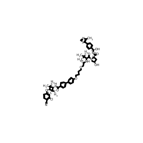 Cc1ncsc1-c1ccc([C@H](O)NC(=O)[C@H]2C[C@@H](O)CN2C(=O)C(NC(=O)COCCCCOc2ccc(-c3ccc(C(=O)N[C@H]4C(C)(C)[C@H](Oc5ccc(C#N)c(Cl)c5)C4(C)C)cc3)cc2)C(C)(C)C)cc1